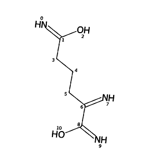 N=C(O)CCCC(=N)C(=N)O